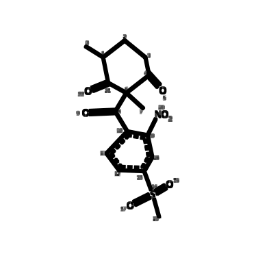 CC1CCC(=O)C(C)(C(=O)c2ccc(S(C)(=O)=O)cc2[N+](=O)[O-])C1=O